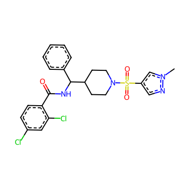 Cn1cc(S(=O)(=O)N2CCC(C(NC(=O)c3ccc(Cl)cc3Cl)c3ccccc3)CC2)cn1